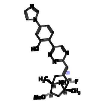 CO[C@H]1C[C@]2(C)N[C@@]1(C)C/C(=C\c1ncc(-c3ccc(-n4ccnc4)cc3O)nn1)[C@@H]2F